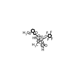 COc1cccc2oc(C(=O)N[C@@H](CC(C)C)C(=O)N[C@@H](C[C@@H]3CCNC3=O)C(=O)COc3c(F)c(F)cc(F)c3F)cc12